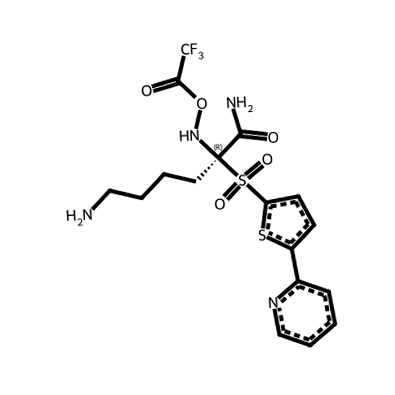 NCCCC[C@](NOC(=O)C(F)(F)F)(C(N)=O)S(=O)(=O)c1ccc(-c2ccccn2)s1